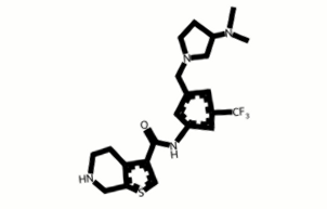 CN(C)C1CCN(Cc2cc(NC(=O)c3csc4c3CCNC4)cc(C(F)(F)F)c2)C1